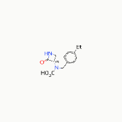 CCc1ccc(CN(C(=O)O)[C@H]2CNC2=O)cc1